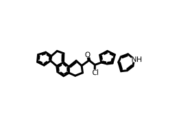 C1=CC=CNC=C1.O=C(C1C=c2c(ccc3c2=CCc2ccccc2-3)CC1)C(Cl)c1ccccc1